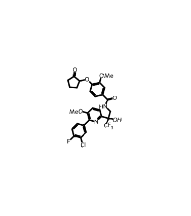 COc1cc(C(=O)NCC(O)(c2ccc(OC)c(-c3ccc(F)c(Cl)c3)n2)C(F)(F)F)ccc1OC1CCCC1=O